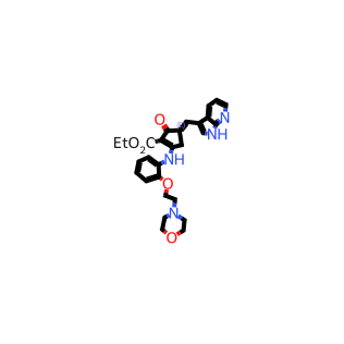 CCOC(=O)C1=C(Nc2ccccc2OCCN2CCOCC2)C/C(=C\c2c[nH]c3ncccc23)C1=O